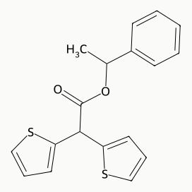 CC(OC(=O)C(c1cccs1)c1cccs1)c1ccccc1